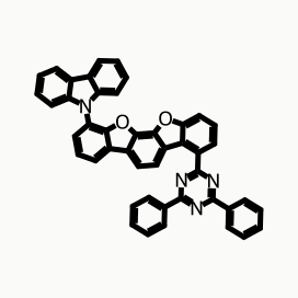 c1ccc(-c2nc(-c3ccccc3)nc(-c3cccc4oc5c(ccc6c7cccc(-n8c9ccccc9c9ccccc98)c7oc65)c34)n2)cc1